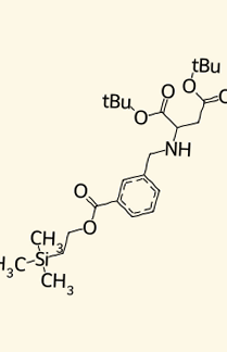 CC(C)(C)OC(=O)CC(NCc1cccc(C(=O)OCC[Si](C)(C)C)c1)C(=O)OC(C)(C)C